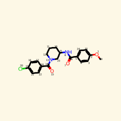 COc1ccc(C(=O)NC2CCCN(C(=O)c3ccc(Cl)cc3)C2)cc1